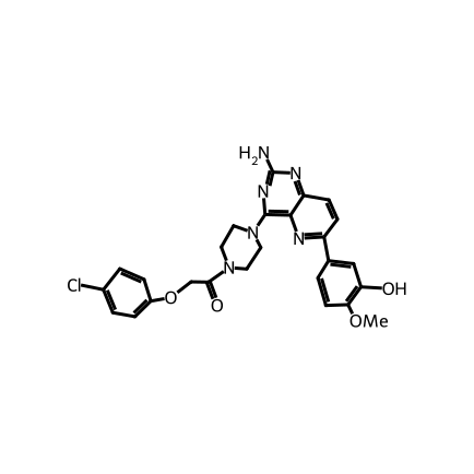 COc1ccc(-c2ccc3nc(N)nc(N4CCN(C(=O)COc5ccc(Cl)cc5)CC4)c3n2)cc1O